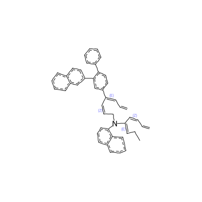 C=C/C=C\C(=C/CC)N(C/C=C\C(=C/C=C)c1ccc(-c2ccccc2)c(-c2ccc3ccccc3c2)c1)c1cccc2ccccc12